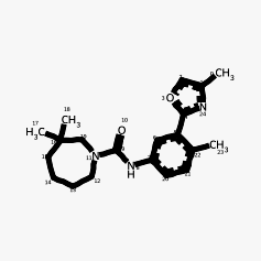 Cc1coc(-c2cc(NC(=O)N3CCCCC(C)(C)C3)ccc2C)n1